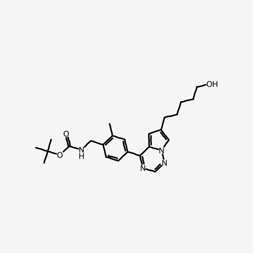 Cc1cc(-c2ncnn3cc(CCCCCO)cc23)ccc1CNC(=O)OC(C)(C)C